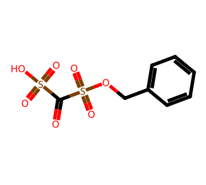 O=C(S(=O)(=O)O)S(=O)(=O)OCc1ccccc1